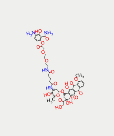 COc1cccc2c1C(=O)c1c(O)c3c(c(O)c1C2=O)C[C@@](O)(C(=O)CO)C[C@H]3OC1C[C@H](NC(=O)CCCC(=O)NCCOCCOCC(=O)Oc2ccc(N)c(O)c2C(N)=O)[C@H](O)[C@H](C)O1